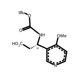 COc1ccncc1[C@H](CC(=O)O)NC(=O)OC(C)(C)C